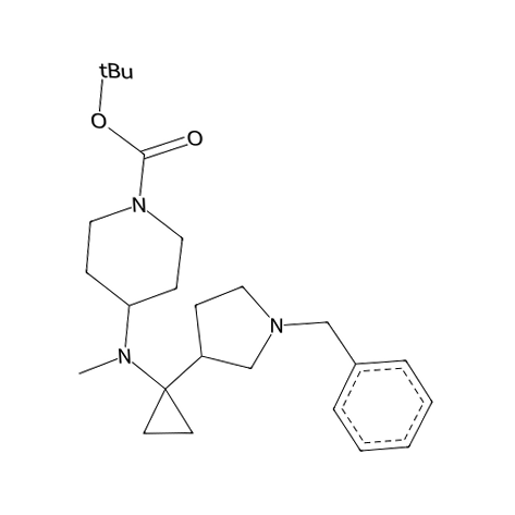 CN(C1CCN(C(=O)OC(C)(C)C)CC1)C1(C2CCN(Cc3ccccc3)C2)CC1